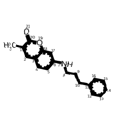 Cc1cc2ccc(NCCCc3ccccc3)cc2oc1=O